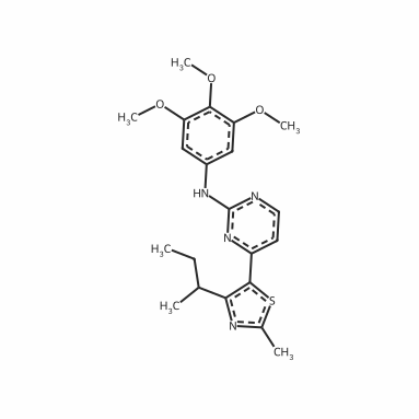 CCC(C)c1nc(C)sc1-c1ccnc(Nc2cc(OC)c(OC)c(OC)c2)n1